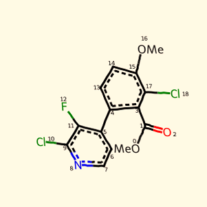 COC(=O)c1c(-c2ccnc(Cl)c2F)ccc(OC)c1Cl